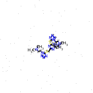 C=C(N)/N=C(CSc1nnnn1CCN(C)C)\N=C(/C)Sc1nnnn1CCN(C)C